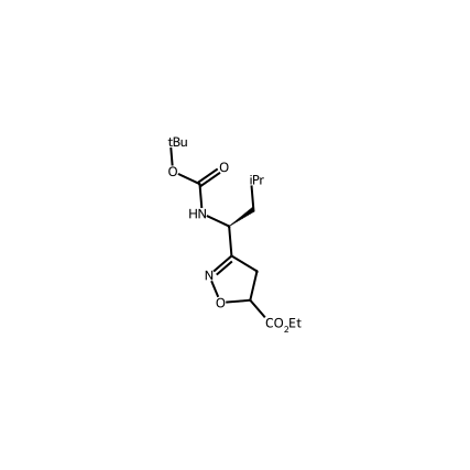 CCOC(=O)C1CC([C@H](CC(C)C)NC(=O)OC(C)(C)C)=NO1